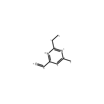 CCc1nc(C)cc(C=O)n1